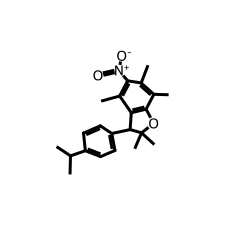 Cc1c(C)c([N+](=O)[O-])c(C)c2c1OC(C)(C)C2c1ccc(C(C)C)cc1